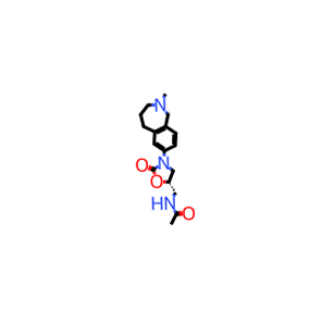 CC(=O)NC[C@H]1CN(c2ccc3c(c2)CCCN(C)C3)C(=O)O1